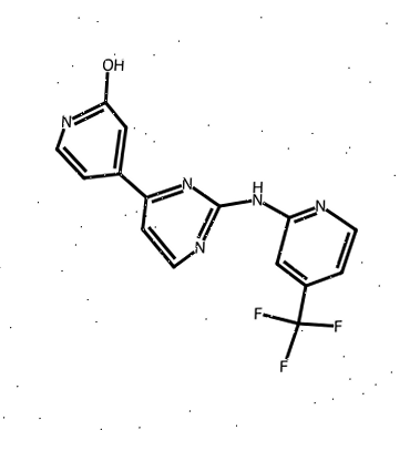 Oc1cc(-c2ccnc(Nc3cc(C(F)(F)F)ccn3)n2)ccn1